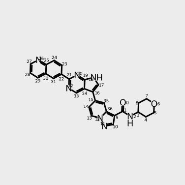 O=C(NC1CCOCC1)c1cnn2ccc(-c3c[nH]c4nc(-c5ccc6ncccc6c5)ncc34)cc12